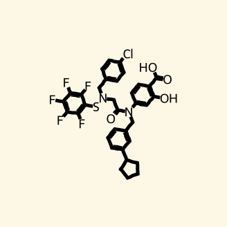 O=C(O)c1ccc(N(Cc2cccc(C3CCCC3)c2)C(=O)CN(Cc2ccc(Cl)cc2)Sc2c(F)c(F)c(F)c(F)c2F)cc1O